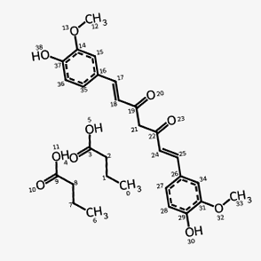 CCCC(=O)O.CCCC(=O)O.COc1cc(/C=C/C(=O)CC(=O)/C=C/c2ccc(O)c(OC)c2)ccc1O